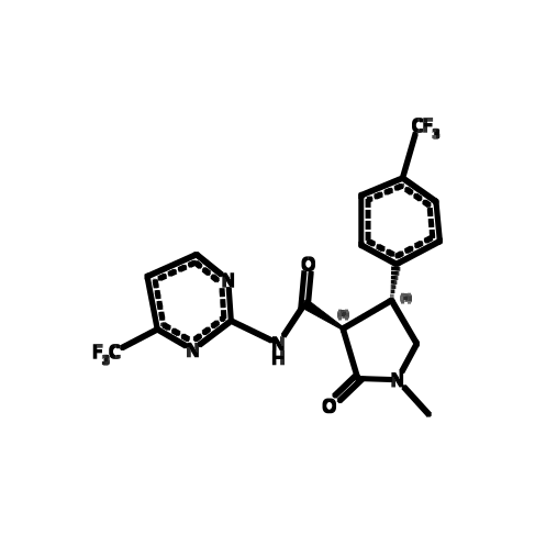 CN1C[C@@H](c2ccc(C(F)(F)F)cc2)[C@H](C(=O)Nc2nccc(C(F)(F)F)n2)C1=O